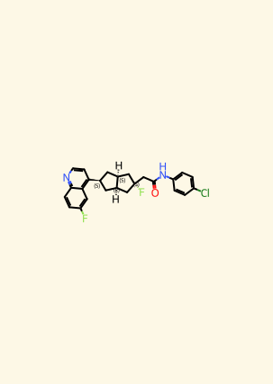 O=C(C[C@@]1(F)C[C@H]2C[C@@H](c3ccnc4ccc(F)cc34)C[C@H]2C1)Nc1ccc(Cl)cc1